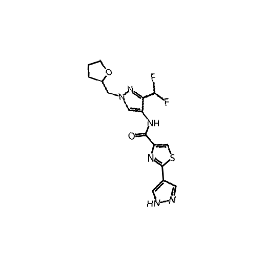 O=C(Nc1cn(CC2CCCO2)nc1C(F)F)c1csc(-c2cn[nH]c2)n1